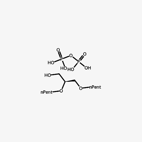 CCCCCOC[C@H](CO)OCCCCC.O=P(O)(O)OP(=O)(O)O